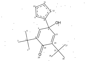 CC(C)(C)C1=CC(O)(c2cccs2)C=C(C(C)(C)C)C1=O